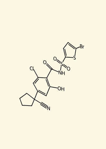 N#CC1(c2cc(O)c(C(=O)NS(=O)(=O)c3ccc(Br)s3)c(Cl)c2)CCCC1